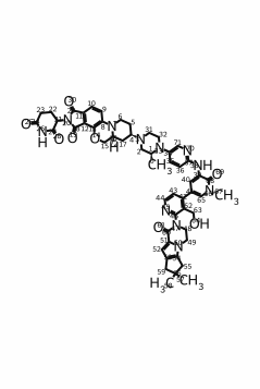 C[C@H]1CN([C@@H]2CCN3c4ccc5c(c4OC[C@H]3C2)C(=O)N(C2CCC(=O)NC2=O)C5=O)CCN1c1ccc(Nc2cc(-c3ccnc(N4CCn5c(cc6c5CC(C)(C)C6)C4=O)c3CO)cn(C)c2=O)nc1